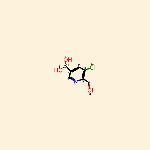 OCc1ncc(B(O)O)cc1Cl